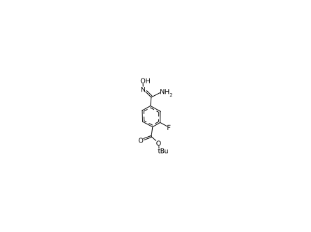 CC(C)(C)OC(=O)c1ccc(C(N)=NO)cc1F